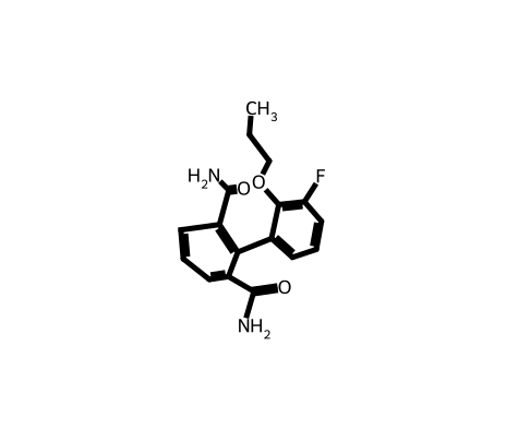 CCCOc1c(F)cccc1-c1c(C(N)=O)cccc1C(N)=O